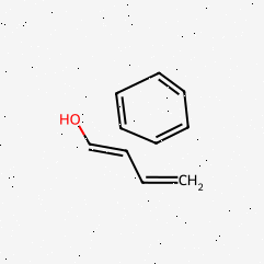 C=CC=CO.c1ccccc1